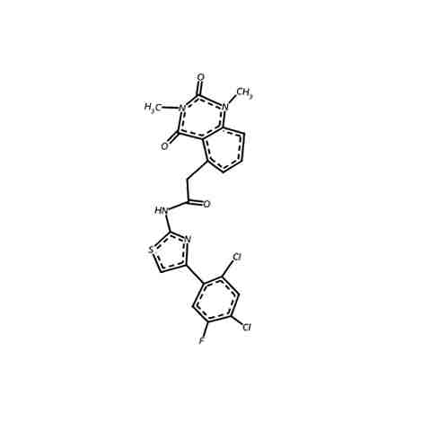 Cn1c(=O)c2c(CC(=O)Nc3nc(-c4cc(F)c(Cl)cc4Cl)cs3)cccc2n(C)c1=O